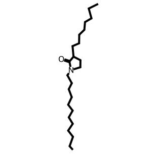 CCCCCCCCCCCCN1CCC(CCCCCCCC)C1=O